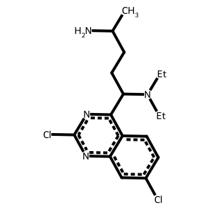 CCN(CC)C(CCC(C)N)c1nc(Cl)nc2cc(Cl)ccc12